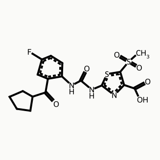 CS(=O)(=O)c1sc(NC(=O)Nc2ccc(F)cc2C(=O)C2CCCC2)nc1C(=O)O